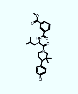 COC(=O)c1cccc(C(=O)N[C@H](CC(C)C)C(=O)N2CCC(c3ccc(Cl)cc3)C(C)(C)C2)c1